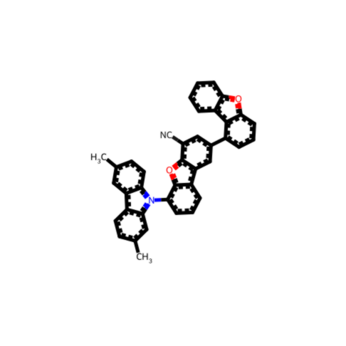 Cc1ccc2c(c1)c1ccc(C)cc1n2-c1cccc2c1oc1c(C#N)cc(-c3cccc4oc5ccccc5c34)cc12